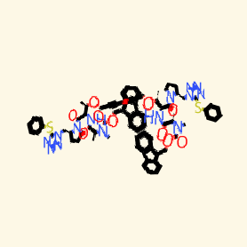 C[C@@H](OCC#CC#CCO[C@H](C)[C@H](NC(=O)[C@H](C)N(C)C(=O)OCC1c2ccccc2-c2ccccc21)C(=O)N1CCC[C@H]1Cn1nnnc1Sc1ccccc1)[C@H](NC(=O)[C@H](C)N(C)C(=O)OCC1c2ccccc2-c2ccccc21)C(=O)N1CCC[C@H]1Cn1nnnc1Sc1ccccc1